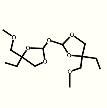 CCC1(COC)COC(OC2OCC(CC)(COC)O2)O1